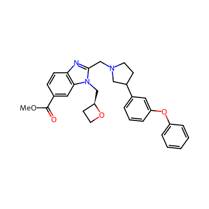 COC(=O)c1ccc2nc(CN3CCC(c4cccc(Oc5ccccc5)c4)C3)n(C[C@@H]3CCO3)c2c1